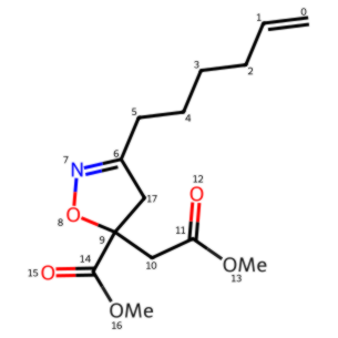 C=CCCCCC1=NOC(CC(=O)OC)(C(=O)OC)C1